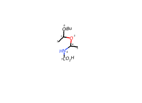 CC(C)COC(C)OC(C)NC(=O)O